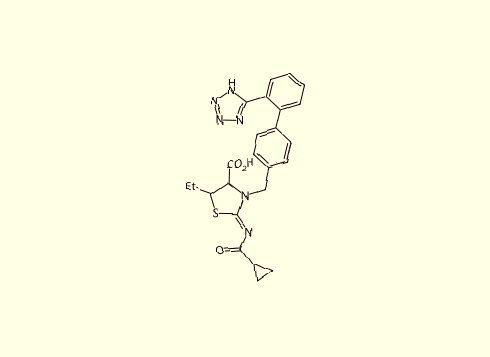 CCC1SC(=NC(=O)C2CC2)N(Cc2ccc(-c3ccccc3-c3nnn[nH]3)cc2)C1C(=O)O